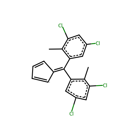 Cc1c(Cl)cc(Cl)cc1C(=C1[C]=CC=C1)c1cc(Cl)cc(Cl)c1C